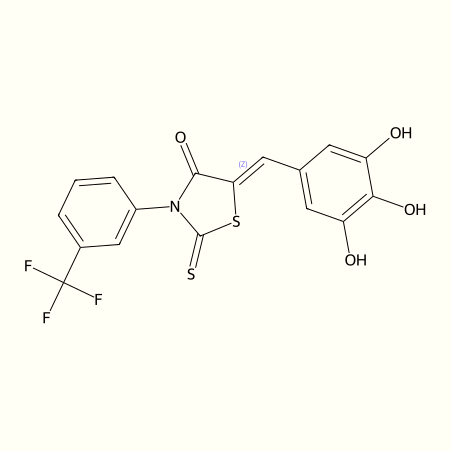 O=C1/C(=C/c2cc(O)c(O)c(O)c2)SC(=S)N1c1cccc(C(F)(F)F)c1